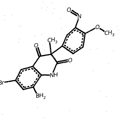 Bc1cc(Br)cc2c1NC(=O)C(C)(c1ccc(OC)c(N=O)c1)C2=O